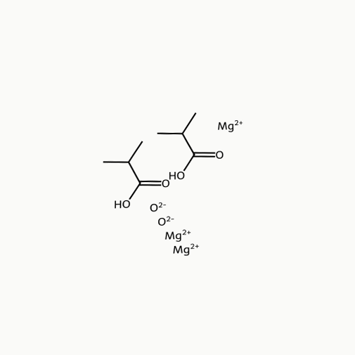 CC(C)C(=O)O.CC(C)C(=O)O.[Mg+2].[Mg+2].[Mg+2].[O-2].[O-2]